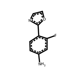 Nc1ccc(-c2ncco2)c(F)c1